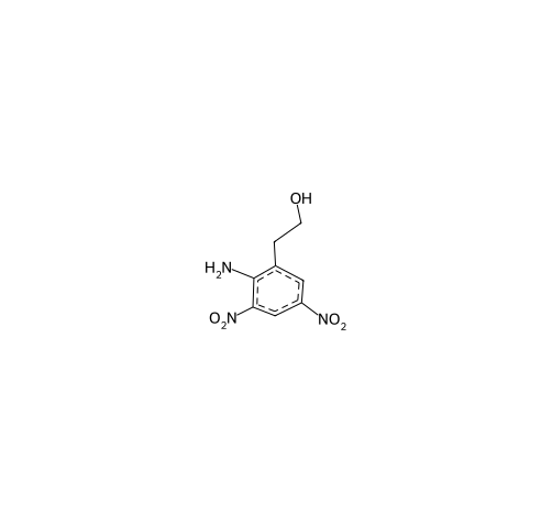 Nc1c(CCO)cc([N+](=O)[O-])cc1[N+](=O)[O-]